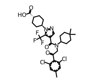 Cc1cc(Cl)c(C(=O)CN(C(=O)c2cnn([C@H]3CC[C@H](C(=O)O)CC3)c2C(F)(F)F)C2CCC(C)(C)CC2)c(Cl)c1